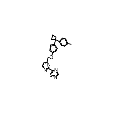 Cc1ccc(C2(c3ccc(OCc4ccnc(-c5ncns5)n4)cc3)CCC2)cc1